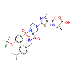 Cc1nc(N2CCN(S(=O)(=O)c3ccc(OC(F)(F)F)cc3)[C@@H](C(=O)NCc3ccc(C(C)C)cc3)C2)sc1C(=O)N[C@H](C)C(=O)O